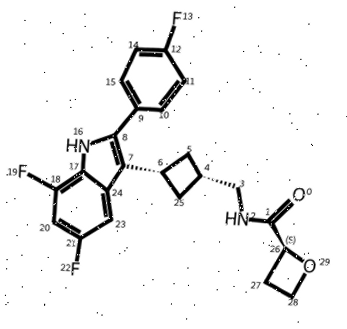 O=C(NC[C@H]1C[C@@H](c2c(-c3ccc(F)cc3)[nH]c3c(F)cc(F)cc32)C1)[C@@H]1CCO1